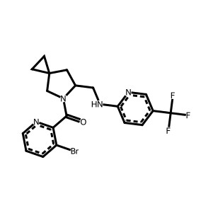 O=C(c1ncccc1Br)N1CC2(CC2)CC1CNc1ccc(C(F)(F)F)cn1